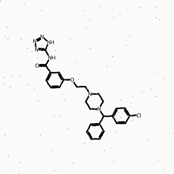 O=C(Nc1nnn[nH]1)c1cccc(OCCN2CCN(C(c3ccccc3)c3ccc(Cl)cc3)CC2)c1